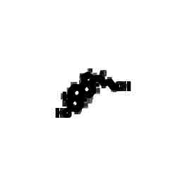 C[C@H](CCCO)[C@H]1CCC2C3CC[C@@H]4C[C@H](O)CC[C@]4(C)C3CC[C@@]21C